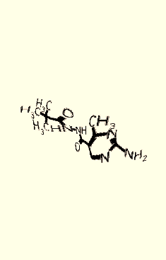 Cc1nc(N)ncc1C(=O)NNC(=O)C(C)(C)C